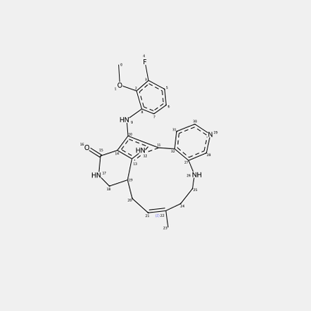 COc1c(F)cccc1Nc1c2[nH]c3c1C(=O)NCC3C/C=C(/C)CCNc1cnccc1-2